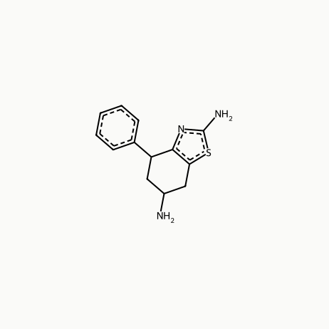 Nc1nc2c(s1)CC(N)CC2c1ccccc1